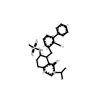 CC(C)n1cnc2c(c1=O)C(Cc1cccc(-c3ccccc3)c1F)C(NS(C)(=O)=O)CC2